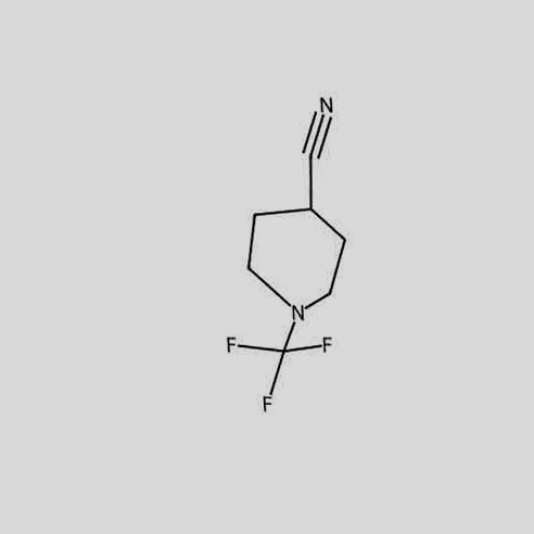 N#CC1CCN(C(F)(F)F)CC1